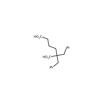 CC(C)CC(CCCC(=O)O)(CC(C)C)C(=O)O